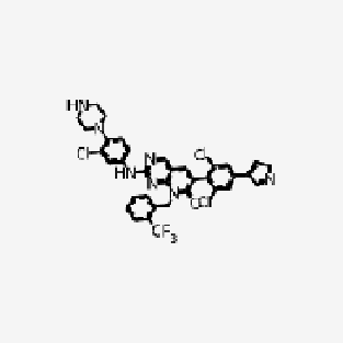 O=c1c(-c2c(Cl)cc(C3=CCN=C3)cc2Cl)cc2cnc(Nc3ccc(N4CCNCC4)c(Cl)c3)nc2n1Cc1ccccc1C(F)(F)F